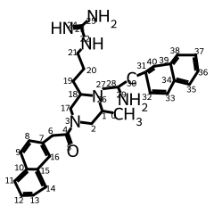 CC1CN(C(=O)Cc2ccc3ccccc3c2)CC(CCCNC(=N)N)N1CC(N)Cc1ccc2ccccc2c1